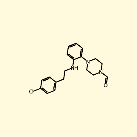 O=CN1CCN(c2ccccc2NCCc2ccc(Cl)cc2)CC1